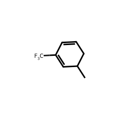 CC1C=C(C(F)(F)F)C=CC1